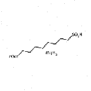 CCCCCCCCCCCCCCCCS(=O)(=O)O.[MgH2]